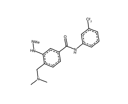 CNNc1cc(C(=O)Nc2cccc(C(F)(F)F)c2)ccc1CN(C)C